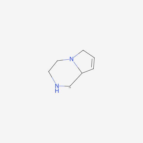 [C]1NCCN2CC=CC12